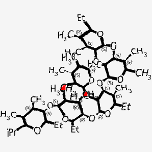 CCC1OC(C(C)C)C(C)[C@@H](C)[C@@H]1O[C@@H]1OC(CC)[C@H](O[C@H]2OC(CC)[C@H](C)[C@H](O[C@@H]3OC(C)[C@H](C)[C@H](O[C@@H]4OC(CC)[C@H](C)[C@H](C)C4O[C@@H]4OC(C)C(C)[C@H](C)C4C)C3C)C2C)[C@H](C)C1C